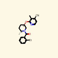 CCc1ccccc1C(=O)N1C[C@H](Oc2nccc(C#N)c2C)CC[C@H]1C